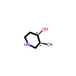 N#C[C@H]1CNCC[C@H]1O